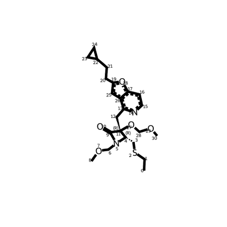 CCSC[C@@H]1N(COC)C(=O)[C@]1(Cc1nccc2oc(CCC3CC3)cc12)OCOC